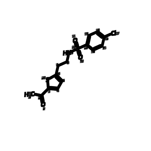 CC(=O)c1ccc(CCNS(=O)(=O)c2ccc(Cl)cc2)s1